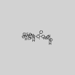 COC(=O)N[C@H](C(=O)N1CCC[C@H]1c1ncc(-c2cc(C)c(-c3ccc(-c4cnc([C@@H]5CCCN5)[nH]4)cc3)c(-c3ccccc3)c2)[nH]1)C(C)C